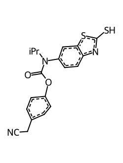 CC(C)N(C(=O)Oc1ccc(CC#N)cc1)c1ccc2nc(S)sc2c1